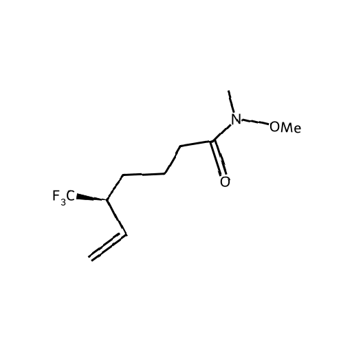 C=C[C@H](CCCC(=O)N(C)OC)C(F)(F)F